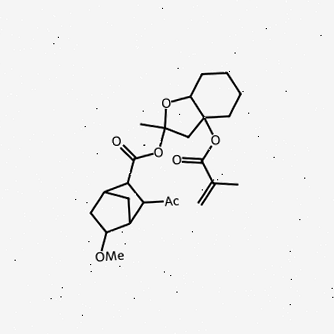 C=C(C)C(=O)OC12CCCCC1OC(C)(OC(=O)C1C3CC(OC)C(C3)C1C(C)=O)C2